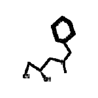 CN(Cc1ccccc1)C[C@H](O)CC#N